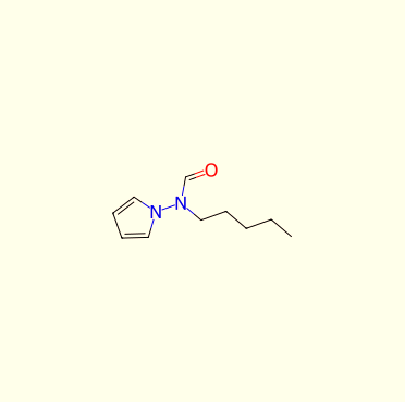 CCCCCN(C=O)n1cccc1